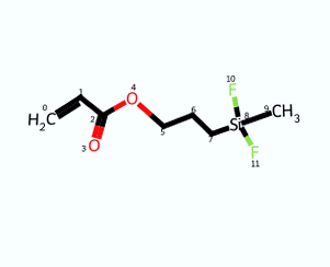 C=CC(=O)OCCC[Si](C)(F)F